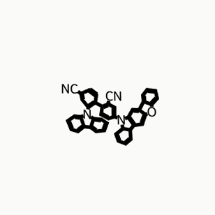 N#Cc1c#cc(-c2ccc(N3c4cc5c(cc4C4C=CC=CC43)oc3ccccc35)cc2C#N)c(-n2c3ccccc3c3ccccc32)c1